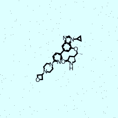 C[C@@H](Oc1cc(-c2ccc(N3CCN(C4COC4)CC3)nc2)cc2ncn(C3CC3)c12)[C@H]1CNC(=O)C1